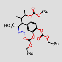 CC(OC(=O)OC(C)(C)C)C(C)C(c1ccc(OC(=O)OCC(C)(C)C)c(OC(=O)OCC(C)(C)C)c1)[C@H](N)C(=O)O